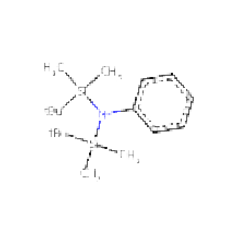 CC(C)(C)[Si](C)(C)N(c1ccccc1)[Si](C)(C)C(C)(C)C